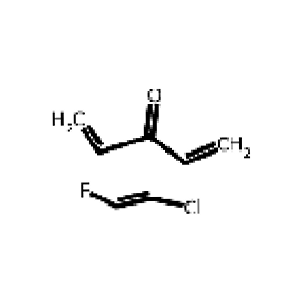 C=CC(=O)C=C.FC=CCl